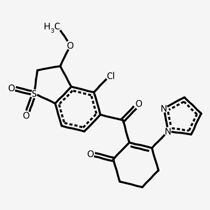 COC1CS(=O)(=O)c2ccc(C(=O)C3=C(n4cccn4)CCCC3=O)c(Cl)c21